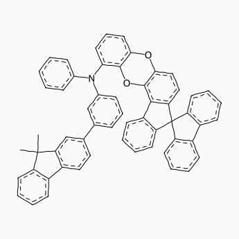 CC1(C)c2ccccc2-c2ccc(-c3cccc(N(c4ccccc4)c4cccc5c4Oc4c(ccc6c4-c4ccccc4C64c6ccccc6-c6ccccc64)O5)c3)cc21